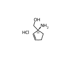 Cl.N[C@]1(CO)C=CCC1